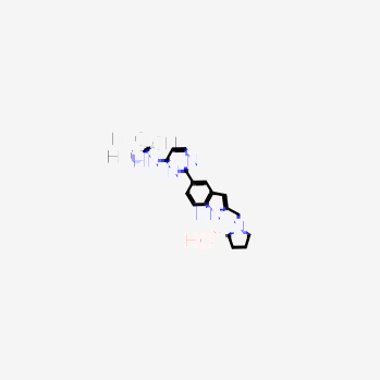 CC(C)(C)Nc1ccnc(-c2ccc3[nH]c(CN4CCC[C@@H]4CO)cc3c2)n1